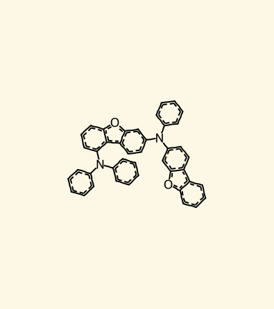 c1ccc(N(c2ccc3c(c2)oc2ccccc23)c2ccc3c(c2)oc2cccc(N(c4ccccc4)c4ccccc4)c23)cc1